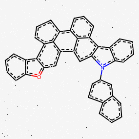 c1ccc2cc(-n3c4ccccc4c4c5cccc6c7cccc8c9c(cc(c(cc43)c65)c78)oc3ccccc39)ccc2c1